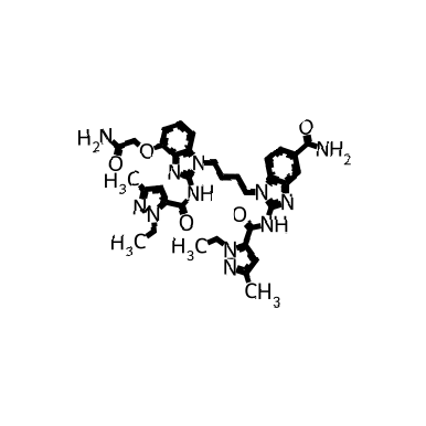 CCn1nc(C)cc1C(=O)Nc1nc2cc(C(N)=O)ccc2n1CCCCn1c(NC(=O)c2cc(C)nn2CC)nc2c(OCC(N)=O)cccc21